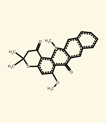 COc1cc2c(c3c1c(=O)c1cc4ccccc4cc1n3C)C(=O)[CH]C(C)(C)O2